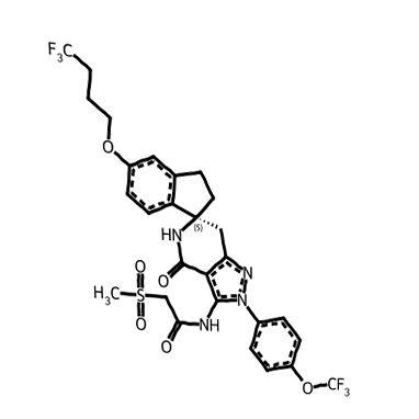 CS(=O)(=O)CC(=O)Nc1c2c(nn1-c1ccc(OC(F)(F)F)cc1)C[C@]1(CCc3cc(OCCCC(F)(F)F)ccc31)NC2=O